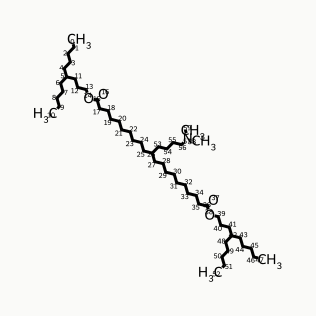 CCCCCC(CCCCC)CCCOC(=O)CCCCCCCCCC(CCCCCCCCCC(=O)OCCCC(CCCCC)CCCCC)CCCCN(C)C